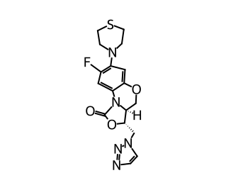 O=C1O[C@@H](Cn2ccnn2)[C@@H]2COc3cc(N4CCSCC4)c(F)cc3N12